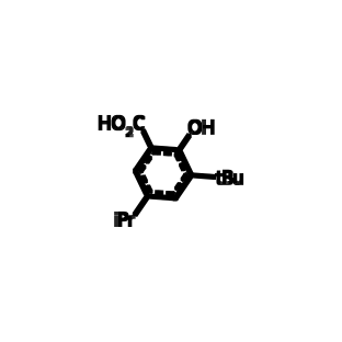 CC(C)c1cc(C(=O)O)c(O)c(C(C)(C)C)c1